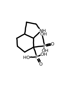 O=P(O)(O)C1(P(=O)(O)O)CCCC2CCNC21